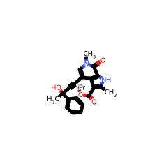 Cc1[nH]c2c(=O)n(C)cc(C#CC(C)(O)c3ccccc3)c2c1C(=O)OC(C)C